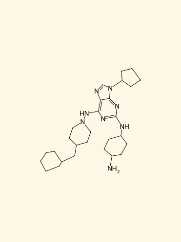 NC1CCC(Nc2nc(NN3CCC(CC4CCCCC4)CC3)c3ncn(C4CCCC4)c3n2)CC1